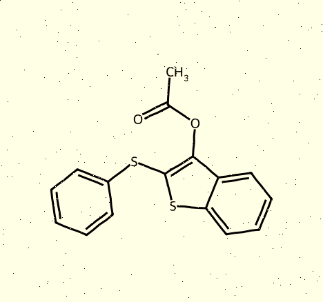 CC(=O)Oc1c(Sc2ccccc2)sc2ccccc12